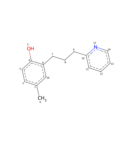 Cc1ccc(O)c(CCCc2ccccn2)c1